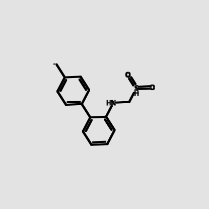 [CH2]c1ccc(-c2ccccc2NC[SH](=O)=O)cc1